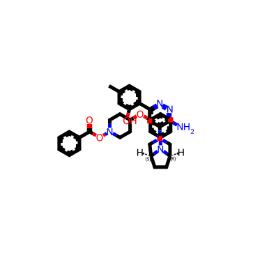 Cc1ccc(-c2cc(N3C[C@H]4CC[C@@H](C3)N4c3cccc(OC4CCN(OC(=O)c5ccccc5)CC4)c3)c(N)nn2)c(O)c1